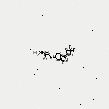 NNC(=O)CCC1CCn2c(cnc2C2CC(F)(F)C2)C1